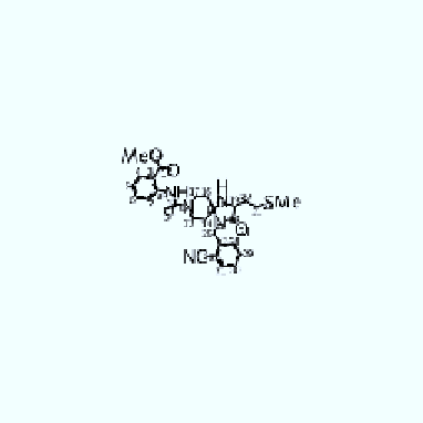 COC(=O)c1ccccc1NC(=S)N1CCC2(CC1)NC(CCSC)C(=O)N2Cc1ccccc1C#N